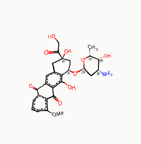 COc1cccc2c1C(=O)c1c(cc3c(c1O)[C@H](O[C@@H]1C[C@@H](N)[C@@H](O)[C@@H](C)O1)C[C@@](O)(C(=O)CO)C3)C2=O